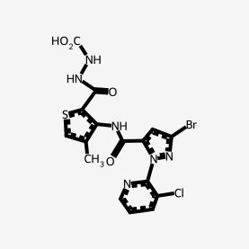 Cc1csc(C(=O)NNC(=O)O)c1NC(=O)c1cc(Br)nn1-c1ncccc1Cl